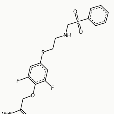 CNC(=O)COc1c(F)cc(SCCNCS(=O)(=O)c2ccccc2)cc1F